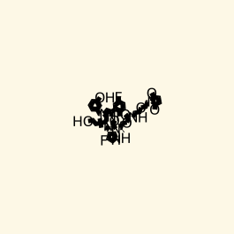 C[C@@H](COC(=O)NCCOCCN1C(=O)C=CC1=O)NC(=O)N(C[C@@H]1CNC[C@@H]1F)[C@@H](c1nc(-c2cc(F)ccc2F)cn1Cc1cccc(O)c1)C(C)(C)CCO